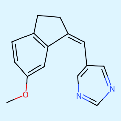 COc1ccc2c(c1)/C(=C\c1cncnc1)CC2